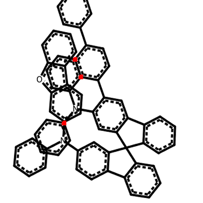 c1ccc(-c2ccc(-c3cc4c(cc3N(c3ccccc3)c3ccccc3)C3(c5ccccc5-c5ccc(N(c6ccccc6)c6ccc7c(c6)oc6ccccc67)cc53)c3ccccc3-4)cc2)cc1